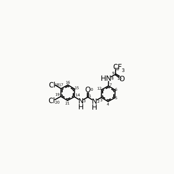 O=C(Nc1cccc(NC(=O)C(F)(F)F)c1)Nc1ccc(Cl)c(Cl)c1